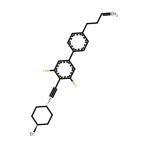 C=CCCc1ccc(-c2cc(F)c(C#C[C@H]3CC[C@H](CC)CC3)c(F)c2)cc1